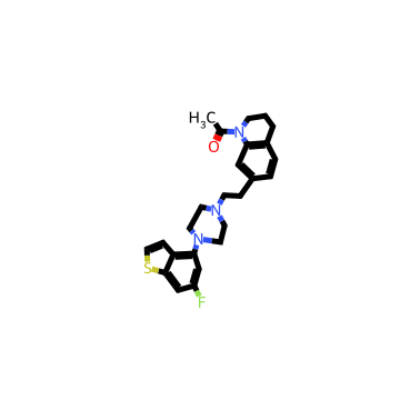 CC(=O)N1CCCc2ccc(CCN3CCN(c4cc(F)cc5sccc45)CC3)cc21